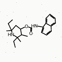 CCC1(C)CC(OC(=O)Nc2cccc3ccccc23)C(C)C(C)(CC)N1